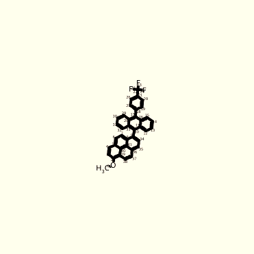 COc1ccc2ccc3c(-c4c5ccccc5c(-c5ccc(C(F)(F)F)cc5)c5ccccc45)ccc4ccc1c2c43